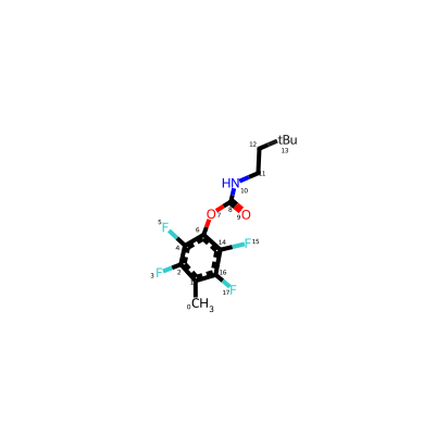 Cc1c(F)c(F)c(OC(=O)NCCC(C)(C)C)c(F)c1F